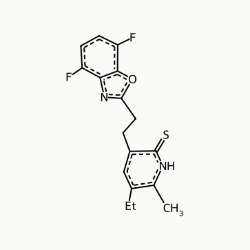 CCc1cc(CCc2nc3c(F)ccc(F)c3o2)c(=S)[nH]c1C